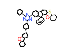 c1ccc(-c2nc(-c3ccc(-c4ccc5c(c4)oc4ccccc45)cc3)nc(-c3ccc4c(c3)C3(c5c-4ccc4c5OC5CCCCC5S4)C4CC5CC(C4)CC3C5)n2)cc1